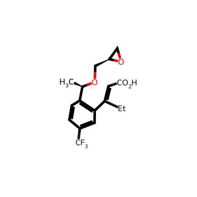 CC/C(=C\C(=O)O)c1cc(C(F)(F)F)ccc1[C@@H](C)OC[C@H]1CO1